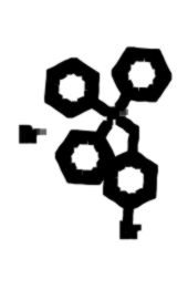 Brc1ccc(C[P+](c2ccccc2)(c2ccccc2)c2ccccc2)cc1.[Br-]